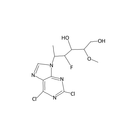 COC(CO)C(O)C(F)C(C)n1cnc2c(Cl)nc(Cl)nc21